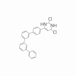 ClC1C=C(c2ccc(-c3cccc(-c4cccc(-c5ccccc5)c4)c3)cc2)NC(Cl)N1